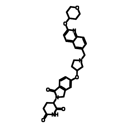 O=C1CCC(N2Cc3cc(OC4CCN(Cc5ccc6nc(OC7CCOCC7)ccc6c5)C4)ccc3C2=O)C(=O)N1